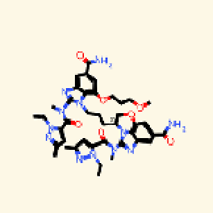 CCn1nc(C)cc1C(=O)N(C)c1nc2cc(C(N)=O)cc(OCCCOC)c2n1CCC[C@H]1COc2cc(C(N)=O)cc3nc(N(C)C(=O)c4cc(C)nn4CC)n1c23